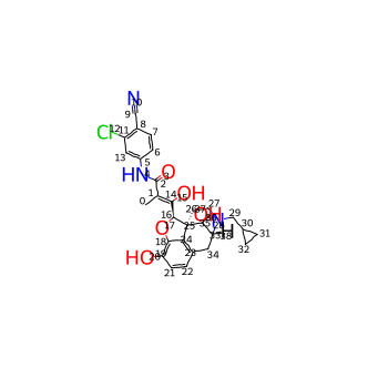 C/C(C(=O)Nc1ccc(C#N)c(Cl)c1)=C(/O)[C@@H]1Oc2c(O)ccc3c2[C@@]12CCN(CC1CC1)[C@H](C3)[C@@]2(C)O